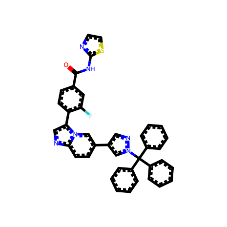 O=C(Nc1nccs1)c1ccc(-c2cnc3ccc(-c4cnn(C(c5ccccc5)(c5ccccc5)c5ccccc5)c4)cn23)c(F)c1